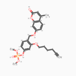 C#CCCCCOc1cc(OP(=O)(OCC)OCC)ccc1COc1ccc2c(C)cc(=O)oc2c1